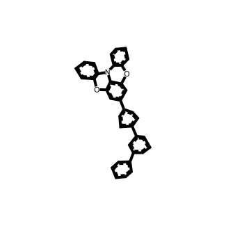 c1ccc(-c2cccc(-c3ccc(-c4cc5c6c(c4)Oc4ccccc4N6c4ccccc4O5)cc3)c2)cc1